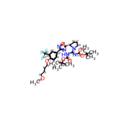 COCCCCOc1ccc(-c2noc([C@@H]3CCCN3/C(=N\C(=O)OC(C)(C)C)NC(=O)OC(C)(C)C)n2)cc1C(F)(F)F